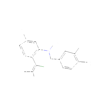 CC/C(C=O)=C(/Br)c1ccc(C(F)(F)F)cc1N(C=O)Cc1ccc(C)c(C)c1